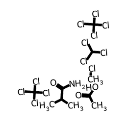 CC(=O)O.CC(C)C(N)=O.CCl.ClC(Cl)(Cl)Cl.ClC(Cl)(Cl)Cl.ClC(Cl)Cl